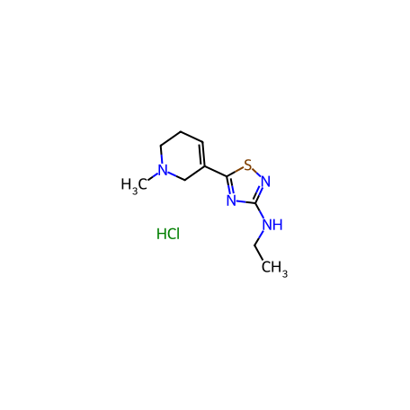 CCNc1nsc(C2=CCCN(C)C2)n1.Cl